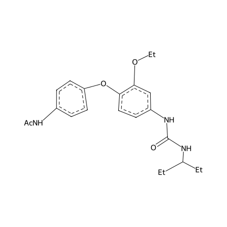 CCOc1cc(NC(=O)NC(CC)CC)ccc1Oc1ccc(NC(C)=O)cc1